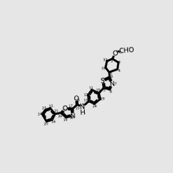 O=COC1CCC(c2ncc(-c3ccc(NC(=O)c4ncc(-c5ccccc5)o4)cc3)s2)CC1